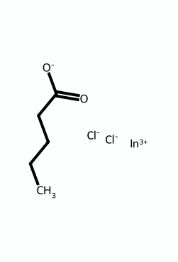 CCCCC(=O)[O-].[Cl-].[Cl-].[In+3]